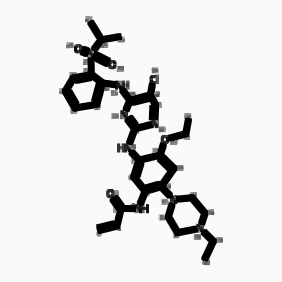 C=CC(=O)Nc1cc(Nc2ncc(Cl)c(Nc3ccccc3S(=O)(=O)C(C)C)n2)c(OCC)cc1N1CCN(CC)CC1